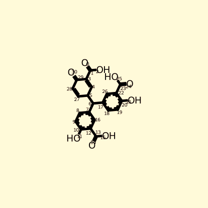 O=C(O)C1=CC(C(c2ccc(O)c(C(=O)O)c2)c2ccc(O)c(C(=O)O)c2)C=CC1=O